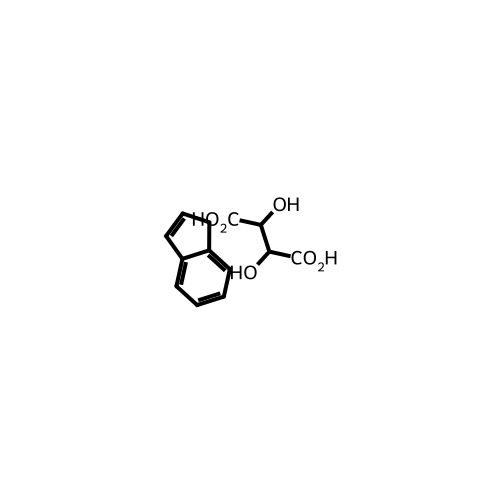 C1=Cc2ccccc2C1.O=C(O)C(O)C(O)C(=O)O